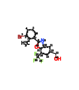 Cc1c(Br)cccc1-c1nc2cc(CO)cc(C(F)(F)F)c2o1